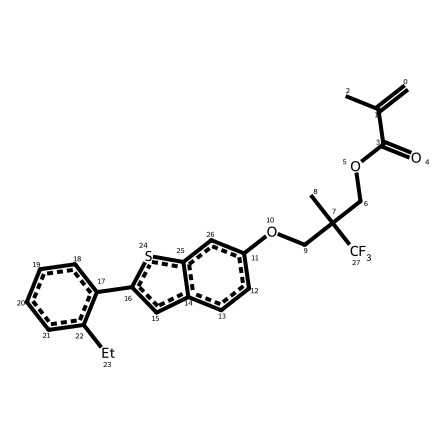 C=C(C)C(=O)OCC(C)(COc1ccc2cc(-c3ccccc3CC)sc2c1)C(F)(F)F